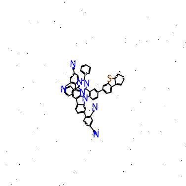 N#Cc1ccc(-c2ccc3c4ccc(-c5ccc(C#N)cc5C#N)cc4n(-c4ccc(-c5ccc6c(c5)sc5ccccc56)cc4-c4nc(-c5ccccc5)nc(-c5ccccc5)n4)c3c2)c(C#N)c1